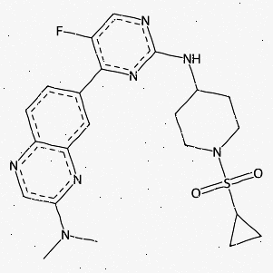 CN(C)c1cnc2ccc(-c3nc(NC4CCN(S(=O)(=O)C5CC5)CC4)ncc3F)cc2n1